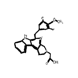 COc1c(F)cc(Cc2nc3c(c4c2[nH]c2ccccc24)CCN(CC(=O)O)C3)cc1F